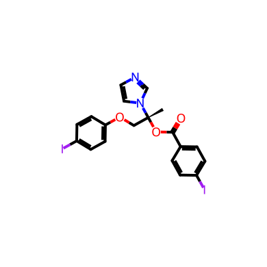 C[C@](COc1ccc(I)cc1)(OC(=O)c1ccc(I)cc1)n1ccnc1